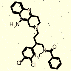 CN(CC(CCN1CCc2nc3ccccc3c(N)c2C1)c1ccc(Cl)c(Cl)c1)C(=O)c1ccccc1